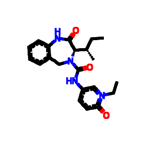 CC[C@H](C)[C@H]1C(=O)Nc2ccccc2CN1C(=O)Nc1ccc(=O)n(CC)c1